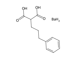 O=C(O)C(CCCc1ccccc1)C(=O)O.[BaH2]